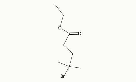 CCOC(=O)CCC(C)(C)Br